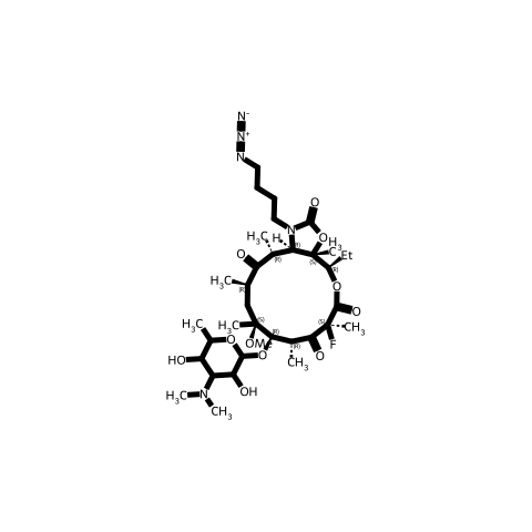 CC[C@H]1OC(=O)[C@@](C)(F)C(=O)[C@H](C)[C@@H](OC2OC(C)C(O)C(N(C)C)C2O)[C@@](C)(OC)C[C@@H](C)C(=O)[C@H](C)[C@H]2N(CCCCN=[N+]=[N-])C(=O)O[C@]12C